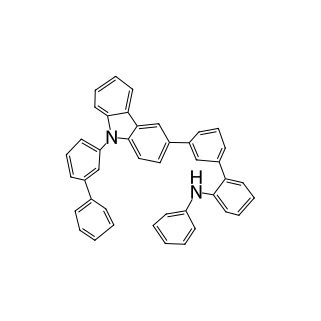 c1ccc(Nc2ccccc2-c2cccc(-c3ccc4c(c3)c3ccccc3n4-c3cccc(-c4ccccc4)c3)c2)cc1